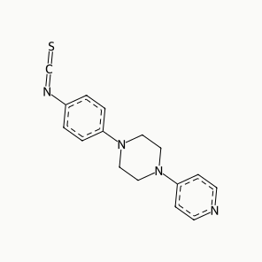 S=C=Nc1ccc(N2CCN(c3ccncc3)CC2)cc1